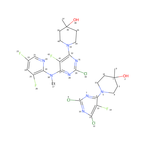 CC1(O)CCN(c2nc(Cl)nc(Cl)c2F)CC1.CCN(c1ncc(F)cc1F)c1nc(Cl)nc(N2CCC(C)(O)CC2)c1F